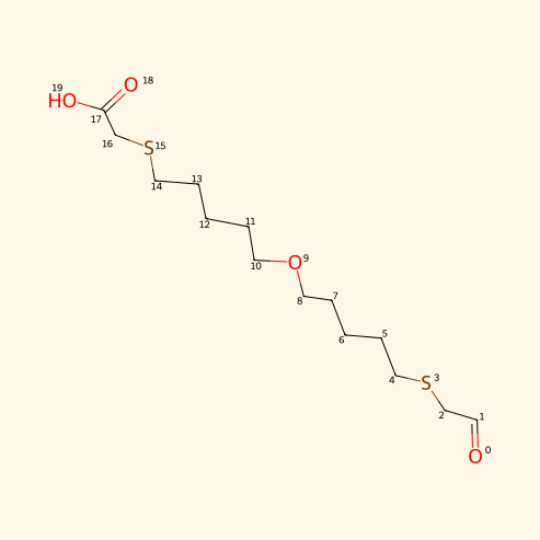 O=CCSCCCCCOCCCCCSCC(=O)O